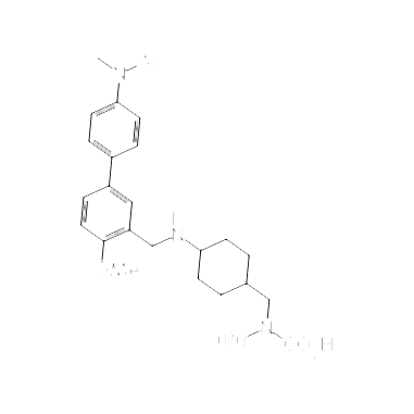 COc1ccc(-c2ccc(N(C)C(C)=O)cc2)cc1CNC1CCC(CN(C(=O)O)C(C)(C)C)CC1